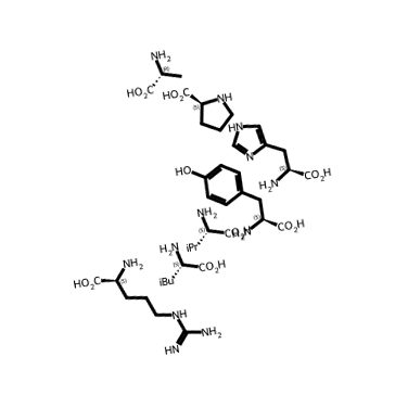 CC(C)[C@H](N)C(=O)O.CCC(C)[C@H](N)C(=O)O.C[C@@H](N)C(=O)O.N=C(N)NCCC[C@H](N)C(=O)O.N[C@@H](Cc1c[nH]cn1)C(=O)O.N[C@@H](Cc1ccc(O)cc1)C(=O)O.O=C(O)[C@@H]1CCCN1